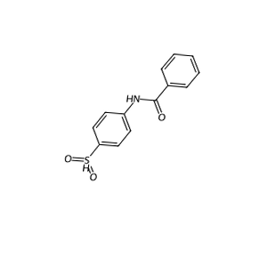 O=C(Nc1ccc([SH](=O)=O)cc1)c1ccccc1